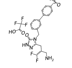 CS(=O)(=O)c1ccc(-c2cccc(Cn3c(CC(CN)=C(F)F)n[nH]c3=O)c2)cc1.O=C(O)C(F)(F)F